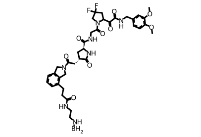 BNCCNC(=O)CCc1cccc2c1CN(C(=O)C[C@@H]1C[C@@H](C(=O)NCC(=O)N3CC(F)(F)CC3C(=O)C(=O)NCc3ccc(OC)c(OC)c3)NC1=O)C2